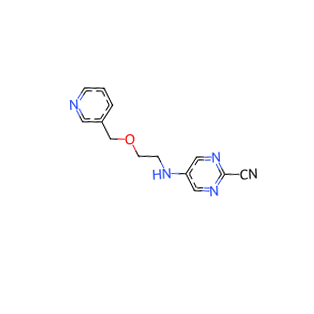 N#Cc1ncc(NCCOCc2cccnc2)cn1